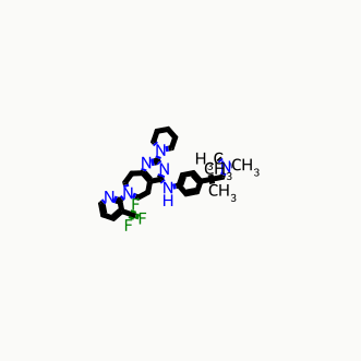 CN(C)CC(C)(C)c1ccc(Nc2nc(N3CCCCC3)nc3c2CCN(c2ncccc2C(F)(F)F)CC3)cc1